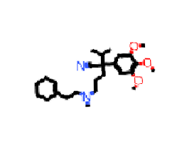 COc1cc(C(C#N)(CCCN(C)CCC2=CCCCC2)C(C)C)cc(OC)c1OC